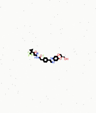 O=C(Cc1ccc(-c2cnc3cc4c(cc3n2)OC[C@@H](CO)O4)cc1F)Nc1cc(C2(C(F)(F)F)CC2)on1